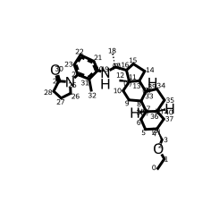 CCOC[C@H]1CC[C@@H]2C3CC[C@@]4(C)C(CCC4[C@@H](C)Nc4cccc(N5CCCC5=O)c4C)[C@@H]3CC[C@@H]2C1